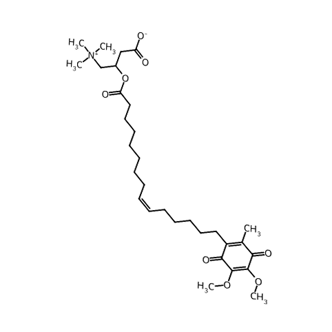 COC1=C(OC)C(=O)C(CCCCC/C=C\CCCCCCCC(=O)OC(CC(=O)[O-])C[N+](C)(C)C)=C(C)C1=O